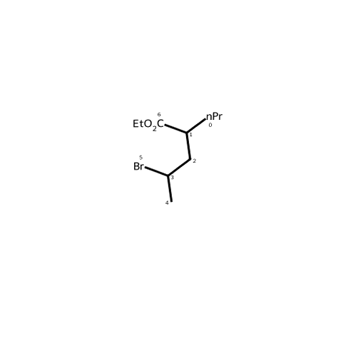 CCCC(CC(C)Br)C(=O)OCC